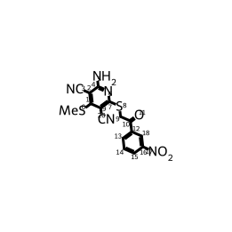 CSc1c(C#N)c(N)nc(SCC(=O)c2cccc([N+](=O)[O-])c2)c1C#N